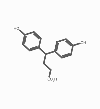 O=C(O)CCC(c1ccc(O)cc1)c1ccc(O)cc1